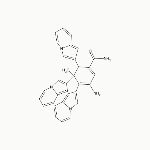 CC1(c2cc3ccccn3c2)C(c2cc3ccccn3c2)=C(N)C=C(C(N)=O)C1c1cc2ccccn2c1